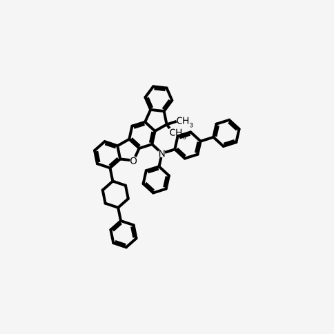 CC1(C)c2ccccc2-c2cc3c(oc4c(C5CCC(c6ccccc6)CC5)cccc43)c(N(c3ccccc3)c3ccc(-c4ccccc4)cc3)c21